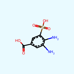 Nc1cc(C(=O)O)cc(S(=O)(=O)O)c1N